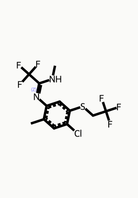 CN/C(=N\c1cc(SCC(F)(F)F)c(Cl)cc1C)C(F)(F)F